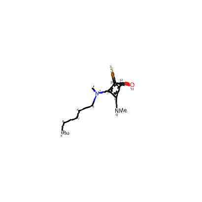 CNc1c(N(C)CCCCC(C)(C)C)c(=S)c1=O